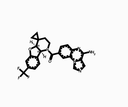 Nc1nc2ccc(C(=O)N3CCC4(CC4)[C@@H]4Oc5cc(C(F)(F)F)ccc5[C@@H]43)cc2n2cncc12